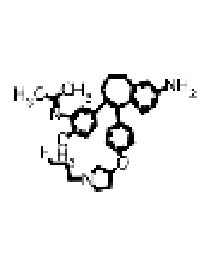 CC(C)=Nc1cc(C2=C(c3ccc(OC4CCN(CCCF)C4)cc3)c3ccc(N)cc3CCC2)ccc1C